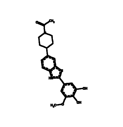 COc1cc(-c2nc3cc(C4CCN(C(C)=O)CC4)ccc3[nH]2)cc(O)c1O